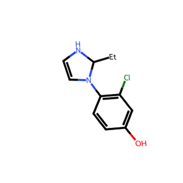 CCC1NC=CN1c1ccc(O)cc1Cl